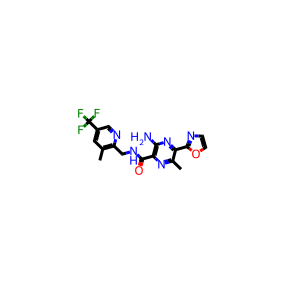 Cc1cc(C(F)(F)F)cnc1CNC(=O)c1nc(C)c(-c2ncco2)nc1N